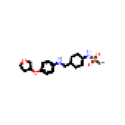 CC(C)S(=O)(=O)NC1CCC(CNc2ccc(OC3CCOC3)cc2)CC1